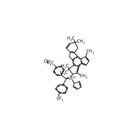 CC1=CC=c2c1c1c(c3c2=C(C)[CH]([Zr+2](=[C](c2ccc(C(F)(F)F)cc2)c2ccc(C(F)(F)F)cc2)[CH]2C=CC=C2)C3(C)C)CC2=C1CC(C)(C)C=C2.[Cl-].[Cl-]